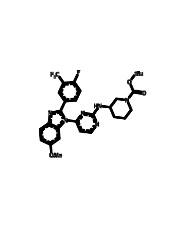 COc1ccc2nc(-c3ccc(F)c(C(F)(F)F)c3)n(-c3ccnc(NC4CCCN(C(=O)OC(C)(C)C)C4)n3)c2c1